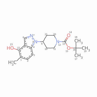 Cc1ccc2c(cnn2C2CCN(C(=O)OC(C)(C)C)CC2)c1O